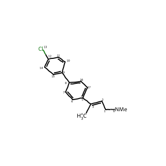 CNCC=C(C)c1ccc(-c2ccc(Cl)cc2)cc1